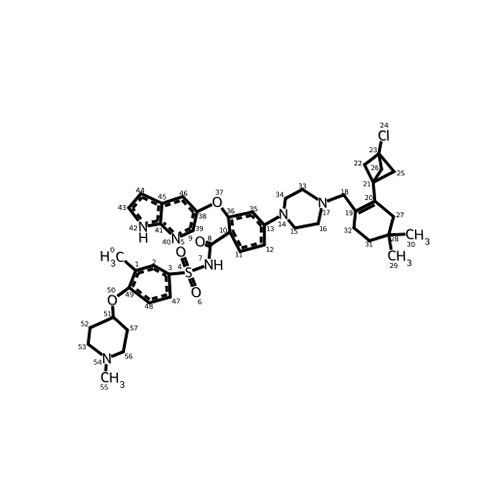 Cc1cc(S(=O)(=O)NC(=O)c2ccc(N3CCN(CC4=C(C56CC(Cl)(C5)C6)CC(C)(C)CC4)CC3)cc2Oc2cnc3[nH]ccc3c2)ccc1OC1CCN(C)CC1